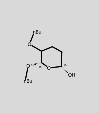 CCCCOC1CC[C@H](O)O[C@@H]1OCCCC